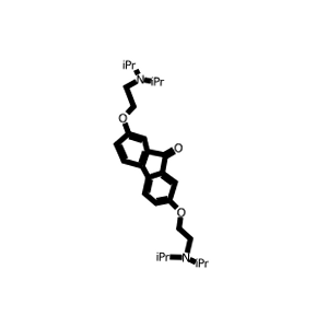 CC(C)N(CCOc1ccc2c(c1)C(=O)c1cc(OCCN(C(C)C)C(C)C)ccc1-2)C(C)C